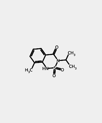 Cc1cccc2c1NS(=O)(=O)N(C(C)C)C2=O